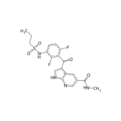 CCCS(=O)(=O)Nc1ccc(F)c(C(=O)c2c[nH]c3ncc(C(=O)NC)cc23)c1F